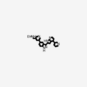 CCNCc1cncc(-c2ccc3[nH]nc(-c4cc5c(-c6cccnc6)ccnc5[nH]4)c3c2)c1